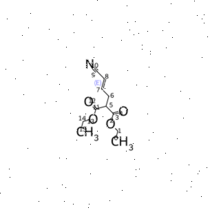 CCOC(=O)C(C/C=C/C#N)C(=O)OCC